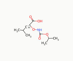 CC(C)C[C@@H](ONC(=O)OC(C)C)C(=O)O